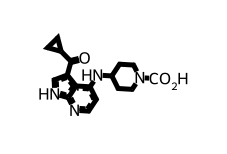 O=C(c1c[nH]c2nccc(NC3CCN(C(=O)O)CC3)c12)C1CC1